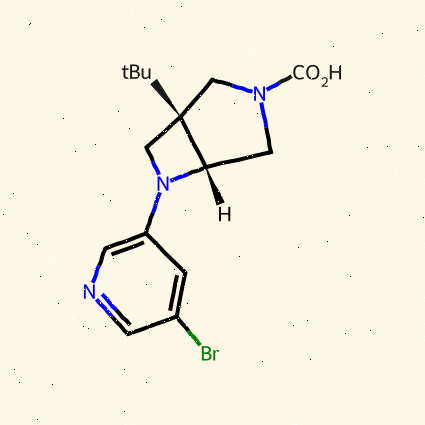 CC(C)(C)[C@@]12CN(C(=O)O)C[C@@H]1N(c1cncc(Br)c1)C2